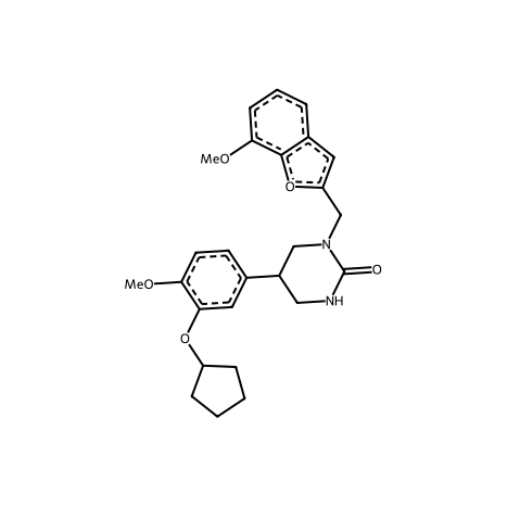 COc1ccc(C2CNC(=O)N(Cc3cc4cccc(OC)c4o3)C2)cc1OC1CCCC1